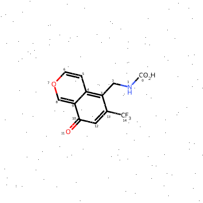 O=C(O)NCc1c2ccocc-2c(=O)cc1C(F)(F)F